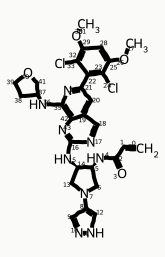 C=CC(=O)N[C@H]1CN(c2cn[nH]c2)C[C@H]1Nc1ncc2cc(-c3c(Cl)c(OC)cc(OC)c3Cl)nc(NC3CCOC3)c2n1